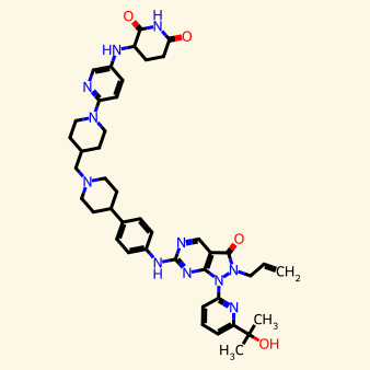 C=CCn1c(=O)c2cnc(Nc3ccc(C4CCN(CC5CCN(c6ccc(NC7CCC(=O)NC7=O)cn6)CC5)CC4)cc3)nc2n1-c1cccc(C(C)(C)O)n1